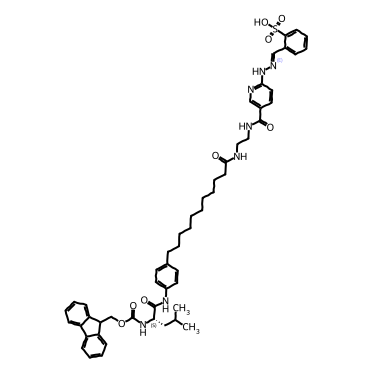 CC(C)C[C@H](NC(=O)OCC1c2ccccc2-c2ccccc21)C(=O)Nc1ccc(CCCCCCCCCCC(=O)NCCNC(=O)c2ccc(N/N=C/c3ccccc3S(=O)(=O)O)nc2)cc1